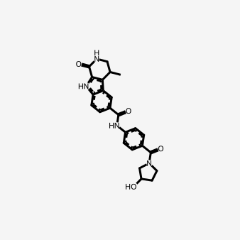 CC1CNC(=O)c2[nH]c3ccc(C(=O)Nc4ccc(C(=O)N5CCC(O)C5)cc4)cc3c21